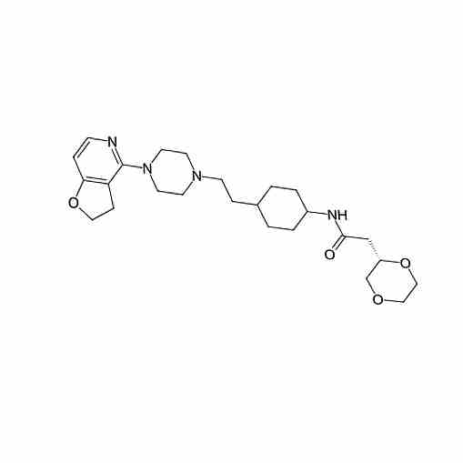 O=C(C[C@H]1COCCO1)NC1CCC(CCN2CCN(c3nccc4c3CCO4)CC2)CC1